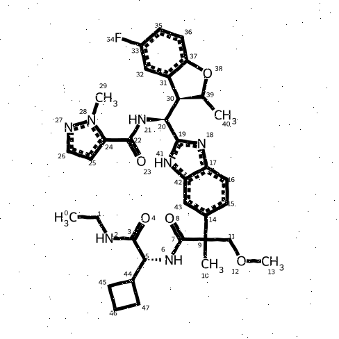 CCNC(=O)[C@H](NC(=O)C(C)(COC)c1ccc2nc([C@@H](NC(=O)c3ccnn3C)[C@H]3c4cc(F)ccc4OC3C)[nH]c2c1)C1CCC1